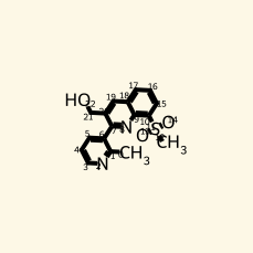 Cc1ncccc1-c1nc2c(S(C)(=O)=O)cccc2cc1CO